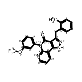 Cc1ccccc1Cc1n[nH]c2c1c(=O)n(-c1cccc(OC(F)(F)F)c1)c1ncccc21